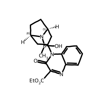 CCOC(=O)c1nc2ccccc2n(C2C[C@H]3CC[C@@H](C2)N3B(C)O)c1=O